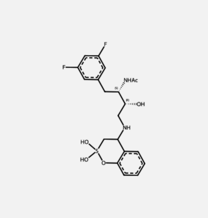 CC(=O)N[C@@H](Cc1cc(F)cc(F)c1)[C@H](O)CNC1CS(O)(O)Oc2ccccc21